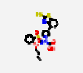 CCCCOc1ccccc1S(=O)(=O)[C@@H]1C[C@@H](c2cccc3sc(S)nc23)CN1NC(=O)O